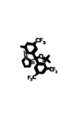 Cc1cc(C(F)(F)F)cc(C(O[Si](C)(C)C)(c2cc(C(F)(F)F)cc(C(F)(F)F)c2)[C@@H]2CCCN2)c1